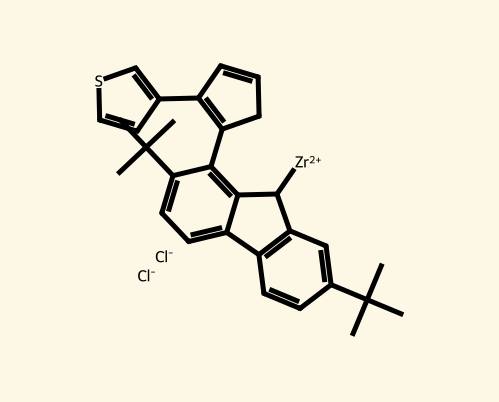 CC(C)(C)c1ccc2c(c1)[CH]([Zr+2])c1c-2ccc(C(C)(C)C)c1C1=C(c2ccsc2)C=CC1.[Cl-].[Cl-]